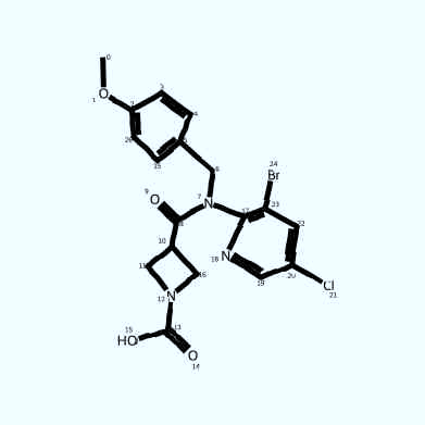 COc1ccc(CN(C(=O)C2CN(C(=O)O)C2)c2ncc(Cl)cc2Br)cc1